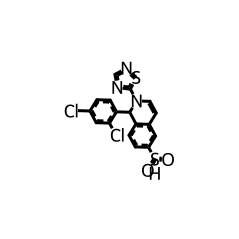 O=[SH](=O)c1ccc2c(c1)C=CN(c1ncns1)C2c1ccc(Cl)cc1Cl